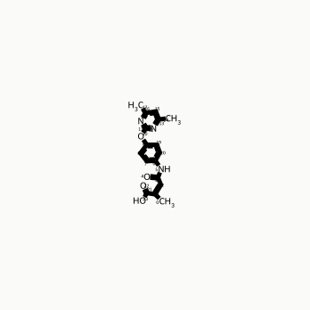 C/C(=C/C(=O)Nc1ccc(Oc2nc(C)cc(C)n2)cc1)C(=O)O